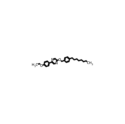 CCCCCCCCc1ccc(COc2cnc(-c3ccc(OCC)cc3)cn2)cc1